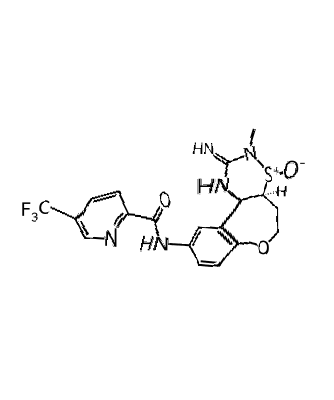 CN1C(=N)NC2c3cc(NC(=O)c4ccc(C(F)(F)F)cn4)ccc3OCC[C@@H]2[S+]1[O-]